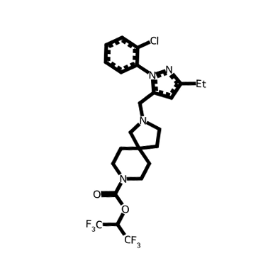 CCc1cc(CN2CCC3(CCN(C(=O)OC(C(F)(F)F)C(F)(F)F)CC3)C2)n(-c2ccccc2Cl)n1